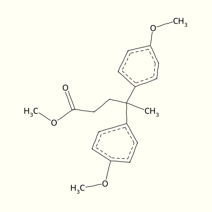 COC(=O)CCC(C)(c1ccc(OC)cc1)c1ccc(OC)cc1